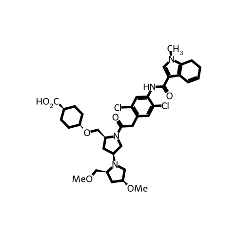 COC[C@@H]1C[C@H](OC)CN1[C@H]1C[C@@H](CO[C@H]2CC[C@H](C(=O)O)CC2)N(C(=O)Cc2cc(Cl)c(NC(=O)c3cn(C)c4c3C=CCC4)cc2Cl)C1